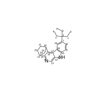 CCC(CC)(CC)c1ccc2[nH]c3cnc4c(c3c2c1)C1CCC4CC1